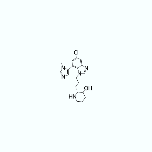 Cn1cncc1-c1cc(Cl)cc2ncn(CCC[C@H]3NCCC[C@@H]3O)c12